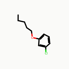 CCCCCOc1cc[c]c(Cl)c1